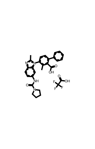 Cc1c(-n2c(C)nc3ccc(NC(=O)N4CCCC4)cc32)ccc(-c2ccccc2)c1C(=O)O.O=C(O)C(F)(F)F